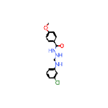 COc1ccc(C(=O)NNCNc2cccc(Cl)c2)cc1